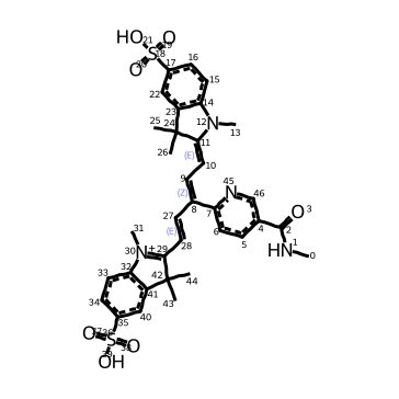 CNC(=O)c1ccc(C(=C\C=C2\N(C)c3ccc(S(=O)(=O)O)cc3C2(C)C)/C=C/C2=[N+](C)c3ccc(S(=O)(=O)O)cc3C2(C)C)nc1